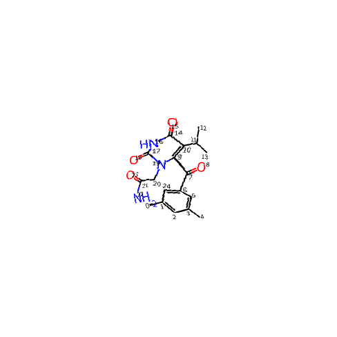 Cc1cc(C)cc(C(=O)c2c(C(C)C)c(=O)[nH]c(=O)n2CC(N)=O)c1